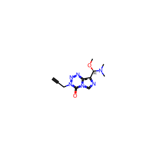 C#CCn1nnc2c([C@@H](OC)N(C)C)ncn2c1=O